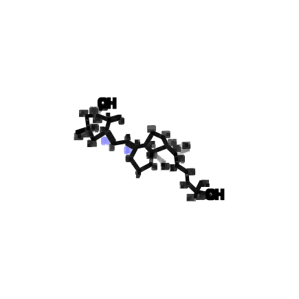 C=C1/C(=C\C=C2/CCC[C@@]3(C)C2CCC3[C@H](C)CCCC(C)(C)O)C[C@@H](C)C[C@@H]1O